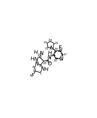 NC1NN2CC(F)CNC2C1C(=O)Nc1cncc(F)c1N1CCCC1